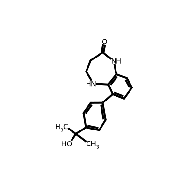 CC(C)(O)c1ccc(-c2cccc3c2NCCC(=O)N3)cc1